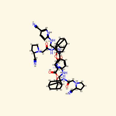 N#Cc1ccc(NCC2(NC(=O)CN3CCCC3C#N)C3CC4CC(C3)CC2(OC(=O)/C=C/C(=O)OC23CC5CC(CC(C5)C2(CNc2ccc(C#N)cn2)NC(=O)CN2CCCC2C#N)C3)C4)nc1